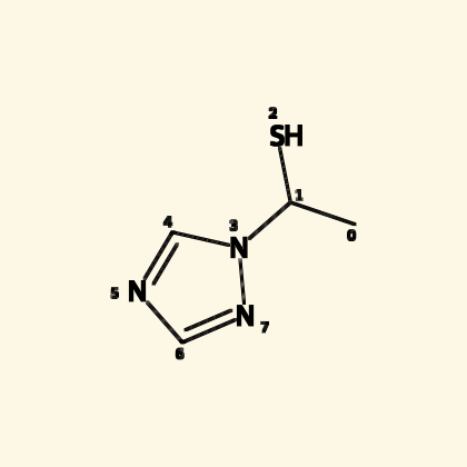 CC(S)n1cncn1